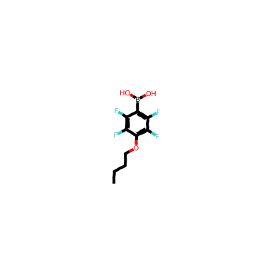 CCCCOc1c(F)c(F)c(B(O)O)c(F)c1F